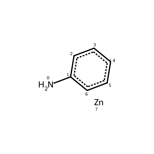 Nc1cc[c]cc1.[Zn]